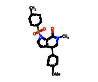 COc1ccc(-c2cn(C)c(=O)c3c2ccn3S(=O)(=O)c2ccc(C)cc2)cc1